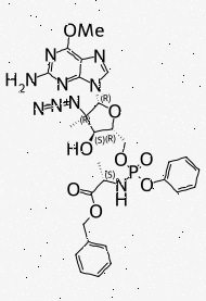 COc1nc(N)nc2c1ncn2[C@@H]1O[C@H](COP(=O)(N[C@@H](C)C(=O)OCc2ccccc2)Oc2ccccc2)[C@@H](O)[C@@]1(C)N=[N+]=[N-]